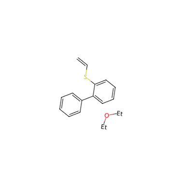 C=CSc1ccccc1-c1ccccc1.CCOCC